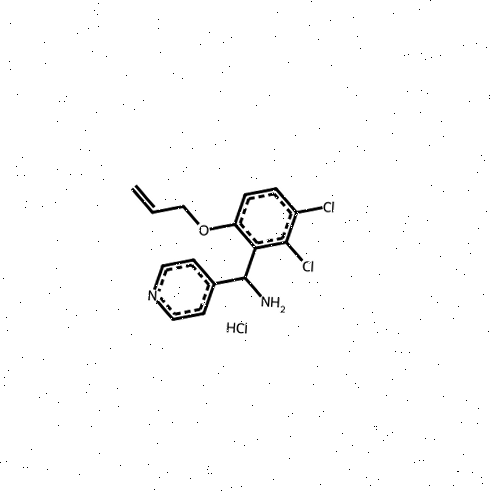 C=CCOc1ccc(Cl)c(Cl)c1C(N)c1ccncc1.Cl